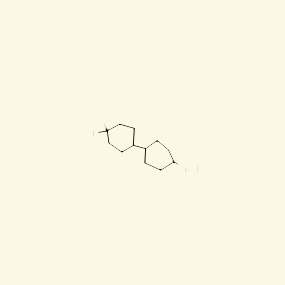 CCCC1CCC(C2CCC(F)(CC)CC2)CC1